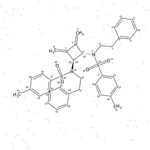 C=C1C(=C)[C@H](N(CCc2ccccc2)S(=O)(=O)c2ccc(C)cc2)[C@H]1N(CCc1ccccc1)S(=O)(=O)c1ccc(C)cc1